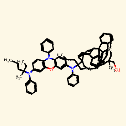 CCCC(C)(CC)N(c1ccccc1)c1ccc2c(c1)Oc1cc(N(c3ccccc3)C(CC)(CCC)C34CCc5ccc6c(c5)-c5cc7ccc5C65c6cc(ccc6-c6cc3c4cc65)C(C)(CO)CC7)ccc1N2c1ccccc1